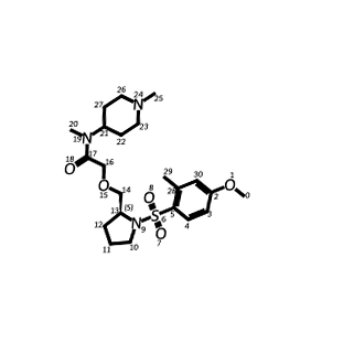 COc1ccc(S(=O)(=O)N2CCC[C@H]2COCC(=O)N(C)C2CCN(C)CC2)c(C)c1